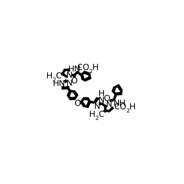 C=C1CCN(C(=O)C(NC(=O)O)c2ccccc2)C1c1nc(-c2ccc(Oc3ccc(-c4c[nH]c([C@@H]5C(=C)CCN5C(=O)[C@H](NC(=O)O)c5ccccc5)n4)cc3)cc2)c[nH]1